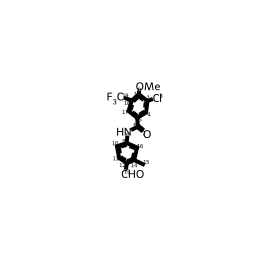 COc1c(Cl)cc(C(=O)Nc2ccc(C=O)c(C)c2)cc1C(F)(F)F